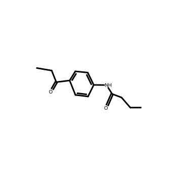 CCCC(=O)Nc1ccc(C(=O)CC)cc1